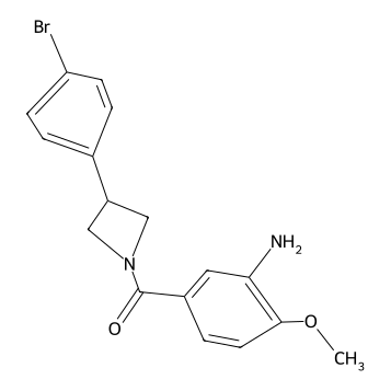 COc1ccc(C(=O)N2CC(c3ccc(Br)cc3)C2)cc1N